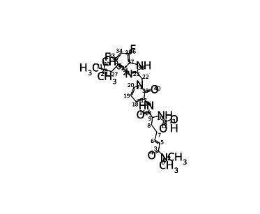 CN(C)C(=O)/C=C/CCC(NC(=O)O)C(=O)Nc1cccn(Cc2nc3c(CC(C)(C)C)c(F)cc(F)c3[nH]2)c1=O